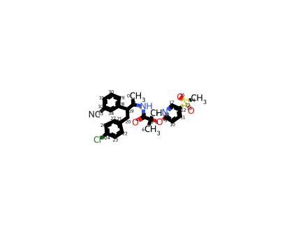 CC(NC(=O)C(C)(C)Oc1ccc(S(C)(=O)=O)cn1)C(Cc1ccc(Cl)cc1)c1cccc(C#N)c1